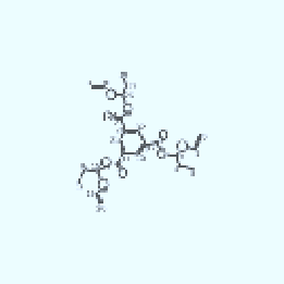 C=COC(CC)OC(=O)c1cc(C(=O)OC(CC)OC=C)cc(C(=O)OC(CC)OC=C)c1